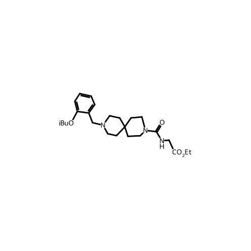 CCOC(=O)CNC(=O)N1CCC2(CCN(Cc3ccccc3OCC(C)C)CC2)CC1